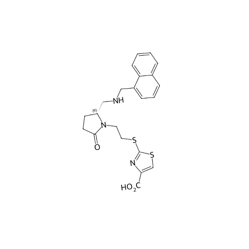 O=C(O)c1csc(SCCN2C(=O)CC[C@@H]2CNCc2cccc3ccccc23)n1